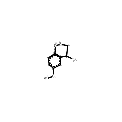 CC(C)Oc1ccc2c(c1)C(C(C)(C)C)CCO2